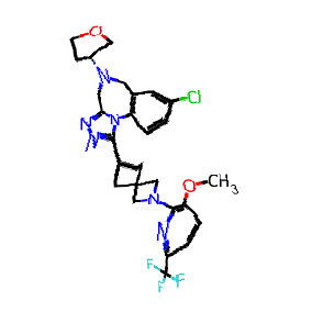 COc1ccc(C(F)(F)F)nc1N1CC2(CC(c3nnc4n3-c3ccc(Cl)cc3CN([C@@H]3CCOC3)C4)C2)C1